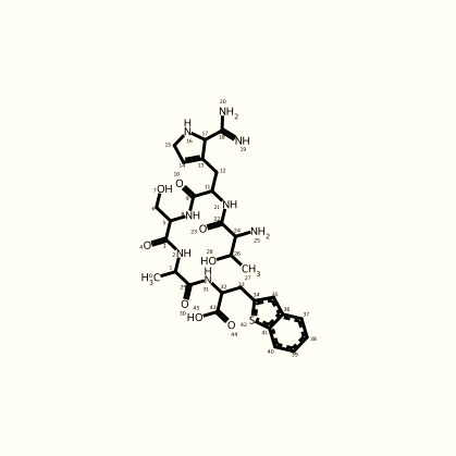 CC(NC(=O)C(CO)NC(=O)C(CC1=CCNC1C(=N)N)NC(=O)C(N)C(C)O)C(=O)NC(Cc1cc2ccccc2s1)C(=O)O